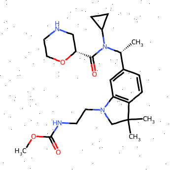 COC(=O)NCCN1CC(C)(C)c2ccc([C@@H](C)N(C(=O)[C@H]3CNCCO3)C3CC3)cc21